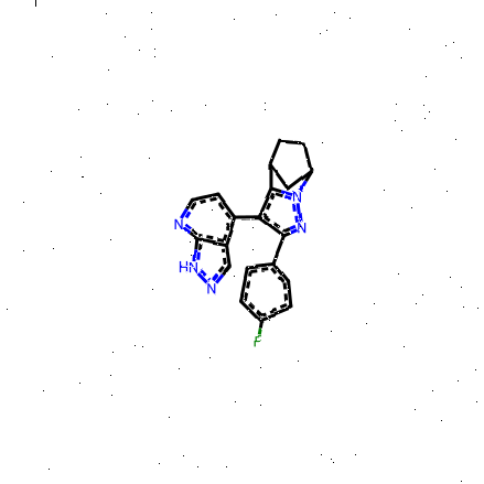 Fc1ccc(-c2nn3c(c2-c2ccnc4[nH]ncc24)C2CCC3C2)cc1